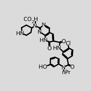 CCCN(C(=O)c1ccc(Cl)c(NC(=O)c2cc3cnc(N(C(=O)O)C4CCNCC4)nc3[nH]c2=O)c1)c1cccc(O)c1